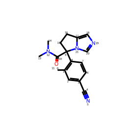 Cc1cc(C#N)ccc1C1(C(=O)N(C)C)CCc2cncn21